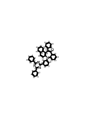 c1ccc(-c2nc(-c3ccccc3)nc(-c3cccc(N4c5ccccc5-c5oc6ccccc6c5-c5c4ccc4ccccc54)c3)n2)cc1